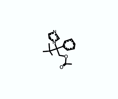 CC(=O)OCC(c1ccccc1)(n1ccnc1)C(C)(C)C